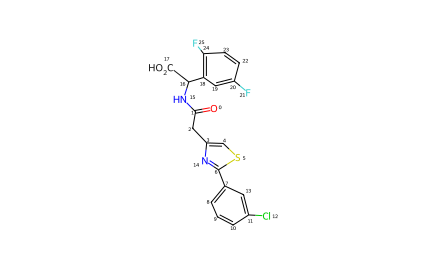 O=C(Cc1csc(-c2cccc(Cl)c2)n1)NC(C(=O)O)c1cc(F)ccc1F